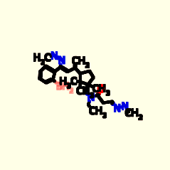 Bc1ccccc1C(=C/C(=C)C1CCC(C)(CN(CC)C(=O)C/C=N/N=C)C1(C)C)/N=N\C